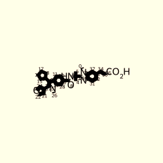 Cn1c(C(C)(C)NC(=O)c2ccc3c(C4CCCC4)c(-c4ccoc4)n(C)c3c2)nc2ccc(/C=C/C(=O)O)cc21